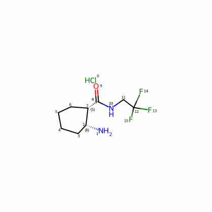 Cl.N[C@@H]1CCCC[C@@H]1C(=O)NCC(F)(F)F